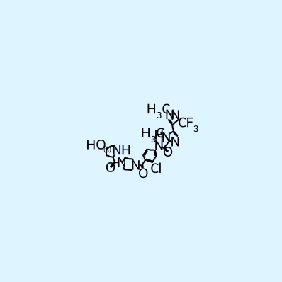 Cn1cc(-c2cnc(C(=O)Nc3ccc(C(=O)N4CCN(C(=O)C5C[C@@H](O)CN5)CC4)c(Cl)c3)n2C)c(C(F)(F)F)n1